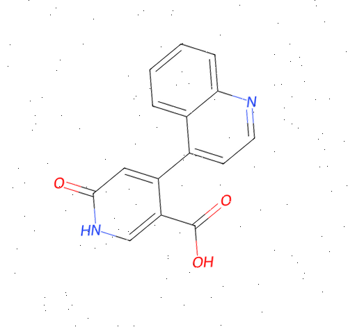 O=C(O)c1c[nH]c(=O)cc1-c1ccnc2ccccc12